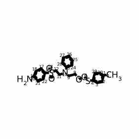 Cc1ccc(SOOCCN(CCS(=O)(=O)c2ccc(N)cc2)c2ccccc2)cc1